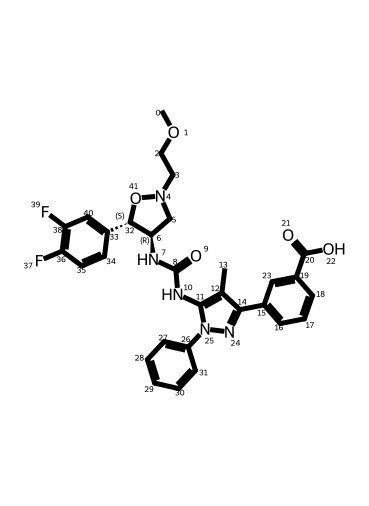 COCCN1C[C@@H](NC(=O)Nc2c(C)c(-c3cccc(C(=O)O)c3)nn2-c2ccccc2)[C@H](c2ccc(F)c(F)c2)O1